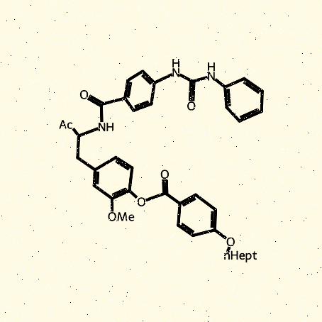 CCCCCCCOc1ccc(C(=O)Oc2ccc(CC(NC(=O)c3ccc(NC(=O)Nc4ccccc4)cc3)C(C)=O)cc2OC)cc1